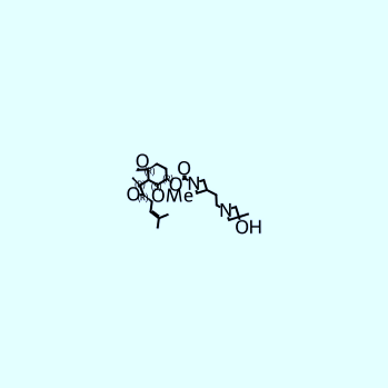 CO[C@H]1C([C@@]2(C)O[C@@H]2CC=C(C)C)[C@]2(CC[C@H]1OC(=O)N1CC(CCN3CC(C)(O)C3)C1)CO2